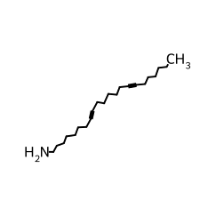 CCCCCCC#CCCCCCC#CCCCCCCCN